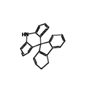 C1=CC2=C(CC1)c1ccccc1C21c2ccccc2Nc2ccccc21